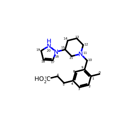 Cc1ccc(CCC(=O)O)cc1CN1CCCC(N2C=CCN2)C1